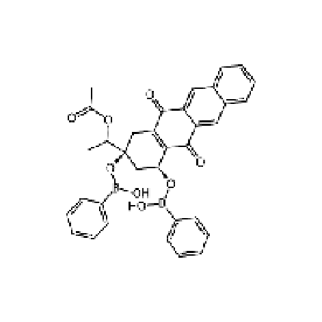 CC(=O)OC(C)[C@]1(OB(O)c2ccccc2)CC2=C(C(=O)c3cc4ccccc4cc3C2=O)[C@@H](OB(O)c2ccccc2)C1